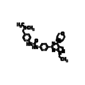 CCn1ncc2c(N3C4CCC3COC4)nc(-c3ccc(NC(=O)Nc4ccc(CN(C)C)cc4)cc3)nc21